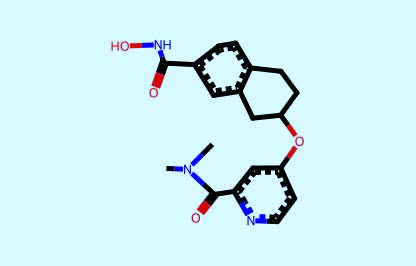 CN(C)C(=O)c1cc(OC2CCc3ccc(C(=O)NO)cc3C2)ccn1